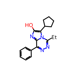 CCc1nnc(-c2ccccc2)c2nc(O)c(C3CCCC3)n12